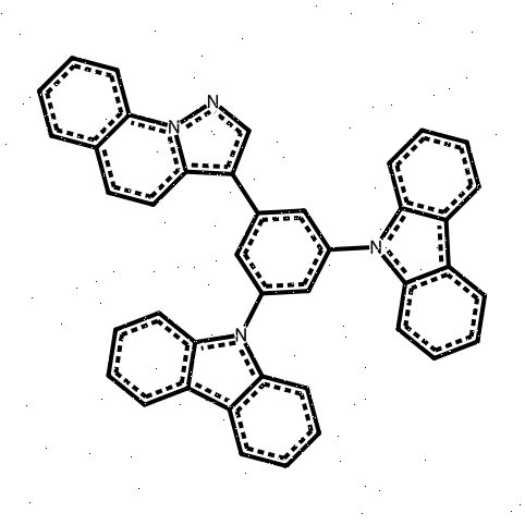 c1ccc2c(c1)ccc1c(-c3cc(-n4c5ccccc5c5ccccc54)cc(-n4c5ccccc5c5ccccc54)c3)cnn12